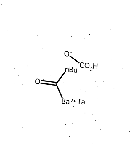 CCCC[C](=O)[Ba+2].O=C([O-])O.[Ta]